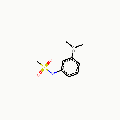 C[SiH](C)c1cccc(NS(C)(=O)=O)c1